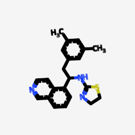 Cc1cc(C)cc(CC(NC2=NCCS2)c2cccc3cnccc23)c1